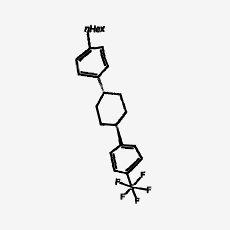 CCCCCCc1ccc([C@H]2CC[C@H](c3ccc(S(F)(F)(F)(F)F)cc3)CC2)cc1